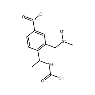 CC(NC(=O)O)c1ccc([N+](=O)[O-])cc1C[S+](C)[O-]